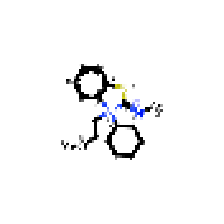 COCC[N+]1(C2CCCCC2)/C(=N/C(C)=O)Sc2ccccc21